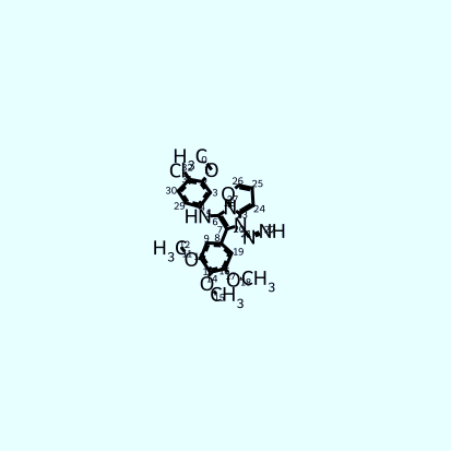 COc1cc(NC2=C(c3cc(OC)c(OC)c(OC)c3)N(N=N)C3=CC=CON32)ccc1Cl